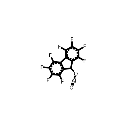 [O]=[Al][O]C1c2c(F)c(F)c(F)c(F)c2-c2c(F)c(F)c(F)c(F)c21